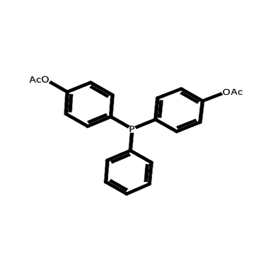 CC(=O)Oc1ccc(P(c2ccccc2)c2ccc(OC(C)=O)cc2)cc1